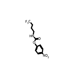 O=C(NCCCC(F)(F)F)Oc1ccc([N+](=O)[O-])cc1